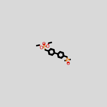 CCOP(=O)(Cc1ccc(-c2ccc(CP(C)(C)=O)cc2)cc1)OCC